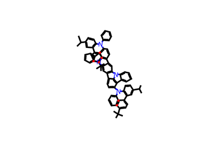 CC(C)c1ccc(N(c2ccccc2)c2ccc3c4cc5c(cc4n4c6ccccc6c2c34)c2ccc(N(c3ccccc3)c3ccc(C(C)C)cc3-c3ccc(C(C)(C)C)cc3)c3c4ccccc4n5c23)c(-c2ccc(C(C)(C)C)cc2)c1